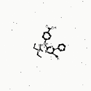 CCN.CCNCC.N#Cc1cnc(Nc2ccc(C(=O)O)cc2)nc1-c1ccccc1